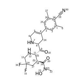 Cc1cc(C2=CCNC(C(=O)[C@H]3NCC(F)(F)C[C@@H]3C(=O)N(C)O)C2)cc(C)c1C#N